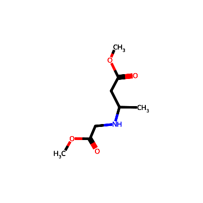 COC(=O)CNC(C)CC(=O)OC